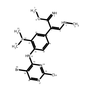 CN/C=C(\C(=N)OC)c1ccc(Nc2nc(Cl)ncc2Br)c(P(C)C)c1